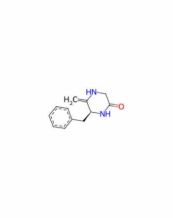 C=C1NCC(=O)N[C@H]1Cc1ccccc1